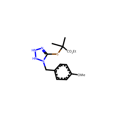 CCOC(=O)C(C)(C)SC1=NNNN1Cc1ccc(OC)cc1